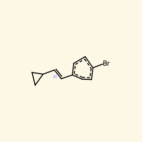 Brc1ccc(/C=C/C2CC2)cc1